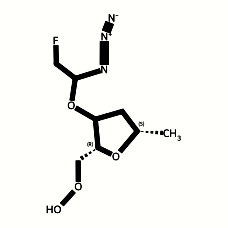 C[C@H]1CC(OC(CF)N=[N+]=[N-])[C@@H](COO)O1